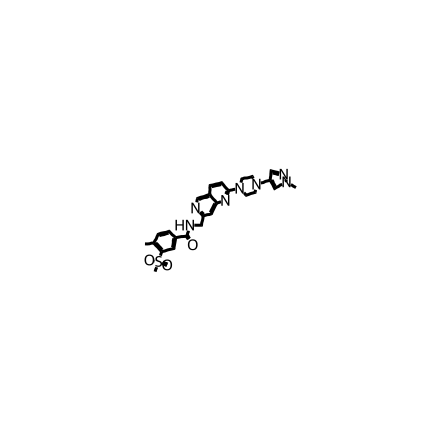 Cc1ccc(C(=O)NCc2cc3nc(N4CCN(c5cnn(C)c5)CC4)ccc3cn2)cc1S(C)(=O)=O